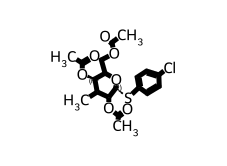 CC(=O)OCC1O[C@H](Sc2ccc(Cl)cc2)C(OC(C)=O)C(C)[C@H]1OC(C)=O